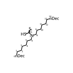 CCCCCCCCCCCCCCCCN(CCCCCCCCCCCCCCCC)C(=S)S